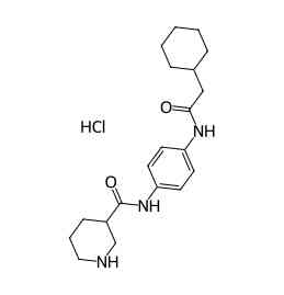 Cl.O=C(CC1CCCCC1)Nc1ccc(NC(=O)C2CCCNC2)cc1